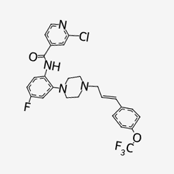 O=C(Nc1ccc(F)cc1N1CCN(CC=Cc2ccc(OC(F)(F)F)cc2)CC1)c1ccnc(Cl)c1